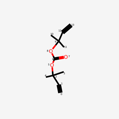 C#CC(C)(C)OC(=O)OC(C)(C)C#C